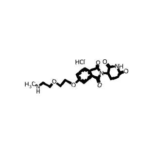 CNCCOCCOc1ccc2c(c1)C(=O)N(C1CCC(=O)NC1=O)C2=O.Cl